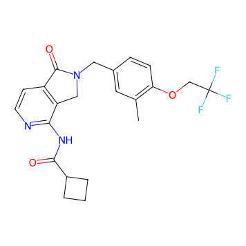 Cc1cc(CN2Cc3c(ccnc3NC(=O)C3CCC3)C2=O)ccc1OCC(F)(F)F